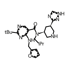 CC(C)CN(C(=O)c1cnc(C(C)(C)C)nc1NCc1ccco1)[C@@H]1CNC[C@H](c2nc[nH]n2)C1